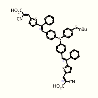 [C-]#[N+]/C(=C\c1ccc(/C(=C/c2ccc(N(c3ccc(/C=C(\c4ccccc4)c4ccc(/C=C(\C#N)C(=O)O)s4)cc3)c3ccc(SCCCC)cc3)cc2)c2ccccc2)s1)C(=O)O